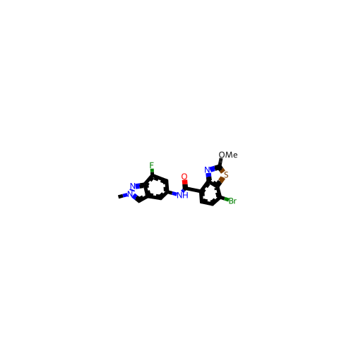 COc1nc2c(C(=O)Nc3cc(F)c4nn(C)cc4c3)ccc(Br)c2s1